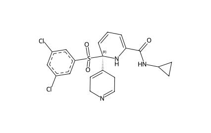 O=C(NC1CC1)C1=CC=C[C@](C2=CCN=CC2)(S(=O)(=O)c2cc(Cl)cc(Cl)c2)N1